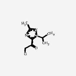 Cc1nc(C(=O)CCl)n(C(C)C)n1